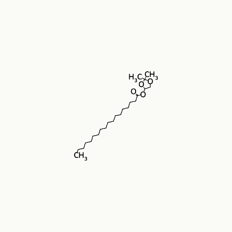 CCCCCCCCCCCCCCCCCC(=O)OC1COC(C)(C)O1